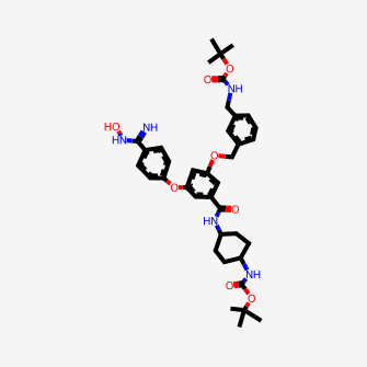 CC(C)(C)OC(=O)NCc1cccc(COc2cc(Oc3ccc(C(=N)NO)cc3)cc(C(=O)NC3CCC(NC(=O)OC(C)(C)C)CC3)c2)c1